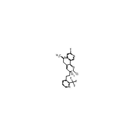 C=C(N)CC(=C/C(=C)CCc1cccnc1C(F)(F)F)/C(=N\CCl)c1ccc(F)nc1